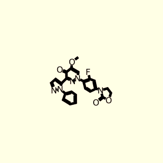 COc1cn(-c2ccc(N3CCOC3=O)cc2F)nc(-c2ccnn2-c2ccccc2)c1=O